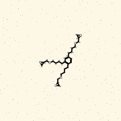 c1cc(CCCCOCC2CO2)c(CCCCOCC2CO2)cc1CCCCOCC1CO1